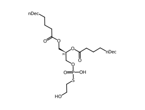 CCCCCCCCCCCCCC(=O)OC[C@H](COP(=O)(O)SCCO)OC(=O)CCCCCCCCCCCCC